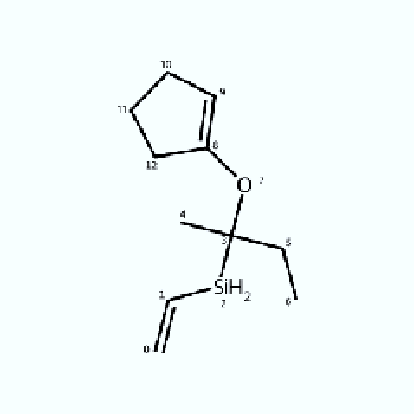 C=C[SiH2]C(C)(CC)OC1=CCCC1